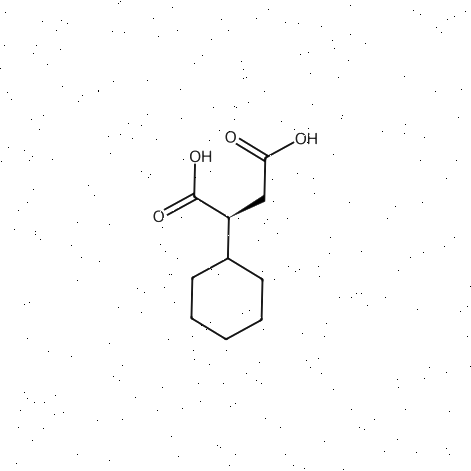 O=C(O)C[C@H](C(=O)O)C1CCCCC1